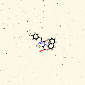 CC(C(=O)O)N(C(=O)C(N)Cc1ccc(Br)cc1)c1cccc2ccccc12